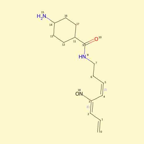 C=C/C=C(\C=C/CCNC(=O)C1CCC(N)CC1)N=O